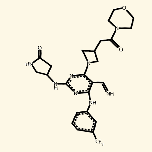 N=Cc1c(Nc2cccc(C(F)(F)F)c2)nc(NC2CNC(=O)C2)nc1N1CC(CC(=O)N2CCOCC2)C1